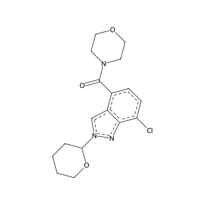 O=C(c1ccc(Cl)c2nn(C3CCCCO3)cc12)N1CCOCC1